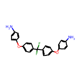 Nc1ccc(Oc2ccc(C(F)(F)c3ccc(Oc4ccc(N)cc4)cc3)cc2)cc1